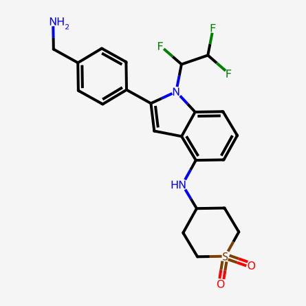 NCc1ccc(-c2cc3c(NC4CCS(=O)(=O)CC4)cccc3n2C(F)C(F)F)cc1